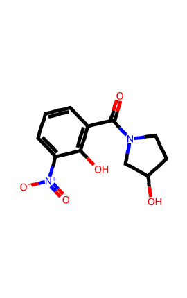 O=C(c1cccc([N+](=O)[O-])c1O)N1CCC(O)C1